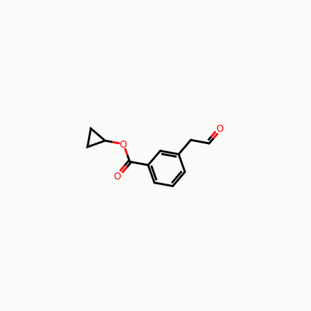 O=CCc1cccc(C(=O)OC2CC2)c1